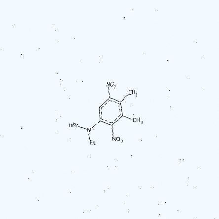 CCCN(CC)c1cc([N+](=O)[O-])c(C)c(C)c1[N+](=O)[O-]